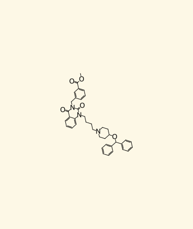 COC(=O)c1cccc(Cn2c(=O)c3ccccc3n(CCCCN3CCC(OC(c4ccccc4)c4ccccc4)CC3)c2=O)c1